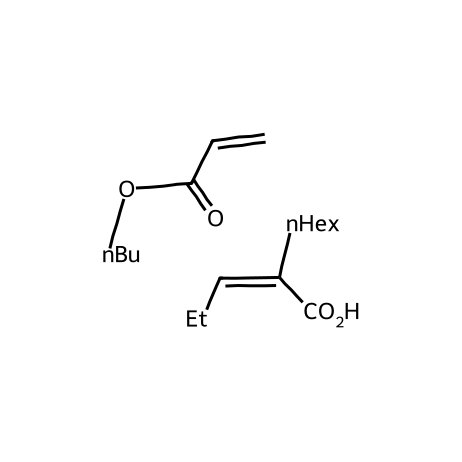 C=CC(=O)OCCCC.CCC=C(CCCCCC)C(=O)O